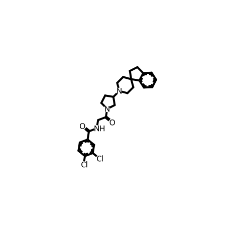 O=C(NCC(=O)N1CCC(N2CCC3(CCc4ccccc43)CC2)C1)c1ccc(Cl)c(Cl)c1